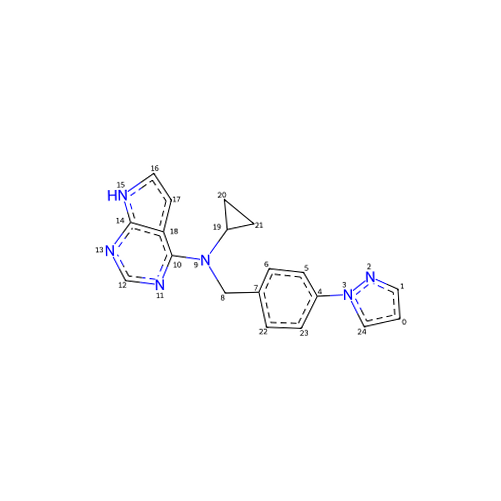 c1cnn(-c2ccc(CN(c3ncnc4[nH]ccc34)C3CC3)cc2)c1